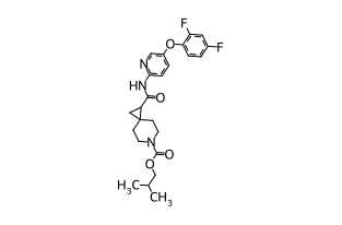 CC(C)COC(=O)N1CCC2(CC1)CC2C(=O)Nc1ccc(Oc2ccc(F)cc2F)cn1